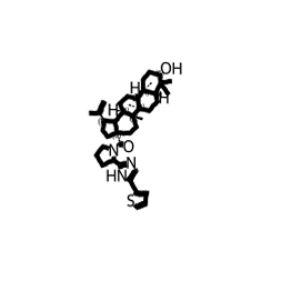 C=C(C)[C@@H]1CC[C@]2(C(=O)N3CCCC3c3ncc(-c4cccs4)[nH]3)CC[C@]3(C)[C@H](CC[C@@H]4[C@@]5(C)CC[C@H](O)C(C)(C)[C@@H]5CC[C@]43C)C12